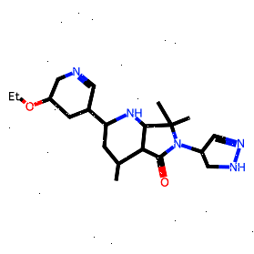 CCOC1CN=CC(C2CC(C)C3C(=O)N(C4C=NNC4)C(C)(C)C3N2)C1